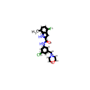 Cc1ccc(F)c2cc(C(=O)Nc3cc(Cl)cc(CN4CCOCC4)c3)[nH]c12